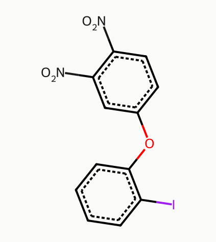 O=[N+]([O-])c1ccc(Oc2ccccc2I)cc1[N+](=O)[O-]